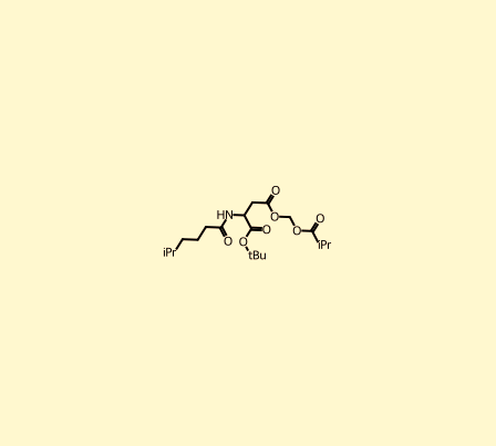 CC(C)CCCC(=O)NC(CC(=O)OCOC(=O)C(C)C)C(=O)OC(C)(C)C